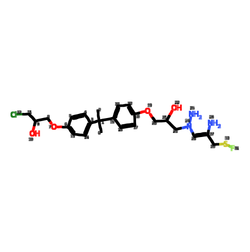 CC(C)(c1ccc(OCC(O)CCl)cc1)c1ccc(OCC(O)CN(N)/C=C(\N)CSF)cc1